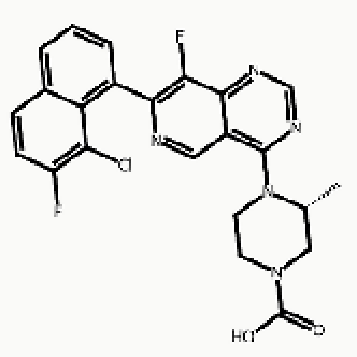 C[C@@H]1CN(C(=O)O)CCN1c1ncnc2c(F)c(-c3cccc4ccc(F)c(Cl)c34)ncc12